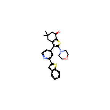 CC1(C)CC(=O)c2sc(N3CCOCC3)c(-c3ccnc(-c4cc5ccccc5s4)c3)c2C1